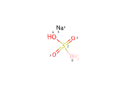 [BH3-]S(=O)(=O)O.[Na+]